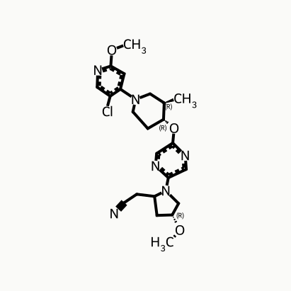 COc1cc(N2CC[C@@H](Oc3cnc(N4C[C@H](OC)CC4CC#N)cn3)[C@H](C)C2)c(Cl)cn1